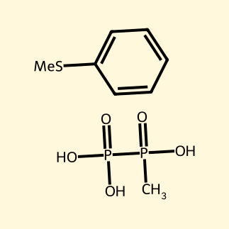 CP(=O)(O)P(=O)(O)O.CSc1ccccc1